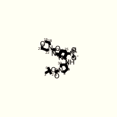 CC(C)(C)OC(=O)N1CC[C@H](Nc2nc3nc(N4CCOCC4)oc3cc2[N+](=O)[O-])C1